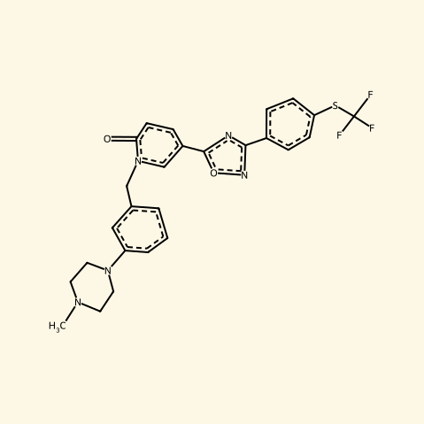 CN1CCN(c2cccc(Cn3cc(-c4nc(-c5ccc(SC(F)(F)F)cc5)no4)ccc3=O)c2)CC1